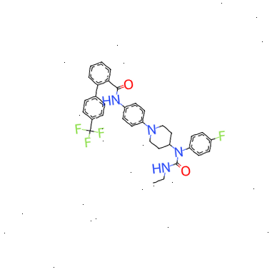 CCNC(=O)N(c1ccc(F)cc1)C1CCN(c2ccc(NC(=O)c3ccccc3-c3ccc(C(F)(F)F)cc3)cc2)CC1